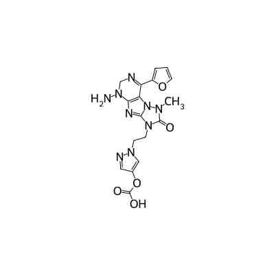 Cn1c(=O)n(CCn2cc(OC(=O)O)cn2)c2nc3c(n21)C(c1ccco1)=NCN3N